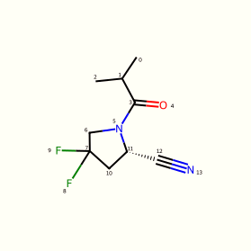 CC(C)C(=O)N1CC(F)(F)C[C@H]1C#N